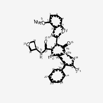 COc1cccc2oc(-c3c(C(=O)NC4COC4)[nH]c4c(-c5ccccc5)c(C(F)(F)F)nn4c3=O)nc12